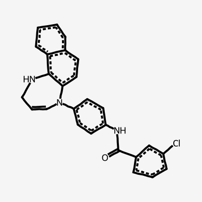 O=C(Nc1ccc(N2C=CCNc3c2ccc2ccccc32)cc1)c1cccc(Cl)c1